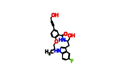 CCCOc1ccc(C#CCO)cc1C(=O)NC(CO)Cc1c[nH]c2ccc(F)cc12